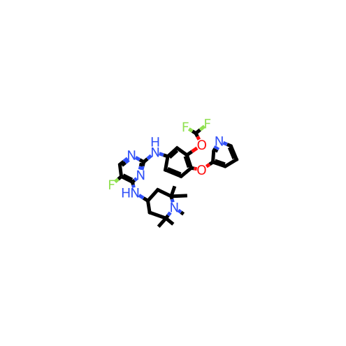 CN1C(C)(C)CC(Nc2nc(Nc3ccc(Oc4cccnc4)c(OC(F)F)c3)ncc2F)CC1(C)C